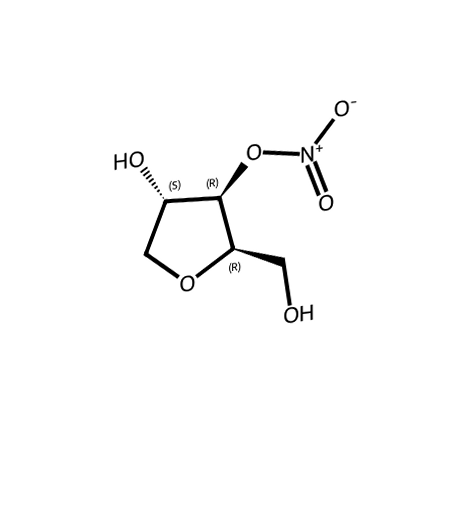 O=[N+]([O-])O[C@@H]1[C@@H](O)CO[C@@H]1CO